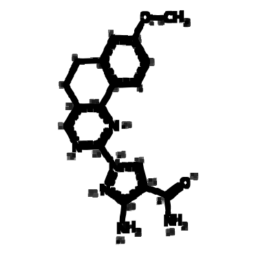 COc1ccc2c(c1)CCc1cnc(-n3cc(C(N)=O)c(N)n3)nc1-2